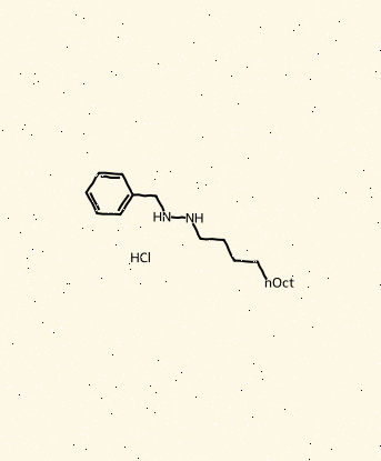 CCCCCCCCCCCCNNCc1ccccc1.Cl